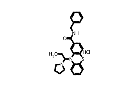 CCC(N1CCCC1)N1c2ccccc2Sc2ccc(C(=O)NCc3ccccc3)cc21.Cl